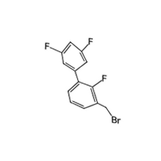 Fc1cc(F)cc(-c2cccc(CBr)c2F)c1